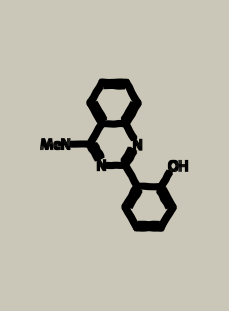 CNc1nc(-c2ccccc2O)nc2ccccc12